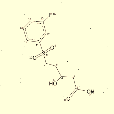 O=C(O)CC(O)CCS(=O)(=O)c1cccc(F)c1